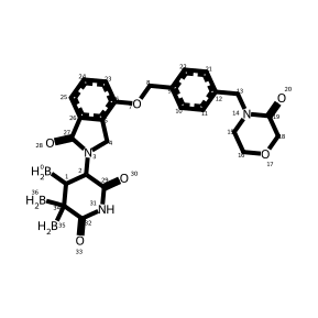 BC1C(N2Cc3c(OCc4ccc(CN5CCOCC5=O)cc4)cccc3C2=O)C(=O)NC(=O)C1(B)B